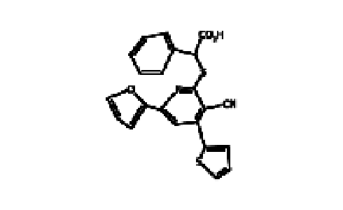 N#Cc1c(-c2cccs2)cc(-c2ccco2)nc1SC(C(=O)O)c1ccccc1